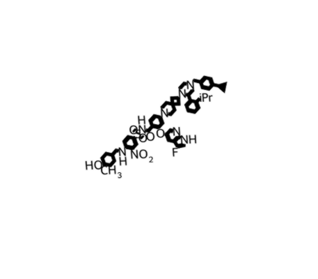 CC(C)c1ccccc1C1CN(Cc2ccc(C3CC3)cc2)CCN1C1CC2(CCN(c3ccc(C(=O)NS(=O)(=O)c4ccc(NCC5CCC(C)(O)CC5)c([N+](=O)[O-])c4)c(Oc4cnc5[nH]cc(F)c5c4)c3)CC2)C1